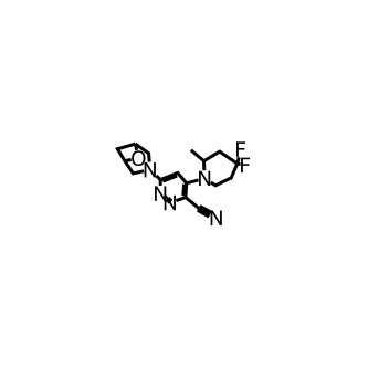 CC1CC(F)(F)CCN1c1cc(N2CC3CC(C2)O3)nnc1C#N